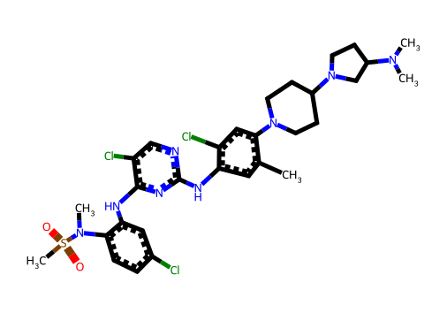 Cc1cc(Nc2ncc(Cl)c(Nc3cc(Cl)ccc3N(C)S(C)(=O)=O)n2)c(Cl)cc1N1CCC(N2CCC(N(C)C)C2)CC1